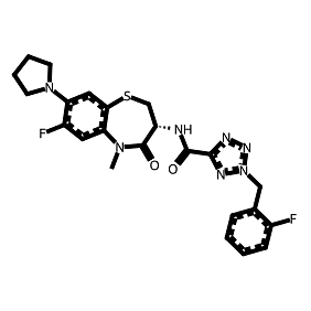 CN1C(=O)[C@@H](NC(=O)c2nnn(Cc3ccccc3F)n2)CSc2cc(N3CCCC3)c(F)cc21